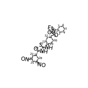 CCN(c1ccccc1)S(=O)(=O)c1ccc(NC(=S)NC(=O)c2cc(N=O)cc(N=O)c2)cc1